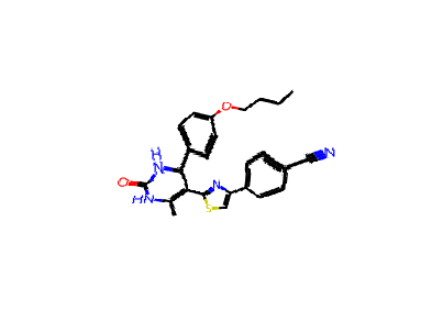 CCCCOc1ccc(C2NC(=O)NC(C)=C2c2nc(-c3ccc(C#N)cc3)cs2)cc1